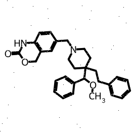 COC(c1ccccc1)C1(CCc2ccccc2)CCN(Cc2ccc3c(c2)COC(=O)N3)CC1